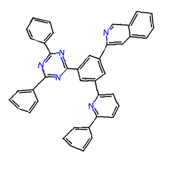 c1ccc(-c2cccc(-c3cc(-c4cc5ccccc5cn4)cc(-c4nc(-c5ccccc5)nc(-c5ccccc5)n4)c3)n2)cc1